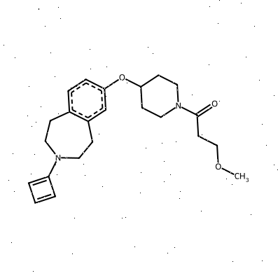 COCCC(=O)N1CCC(Oc2ccc3c(c2)CCN(C2=CC=C2)CC3)CC1